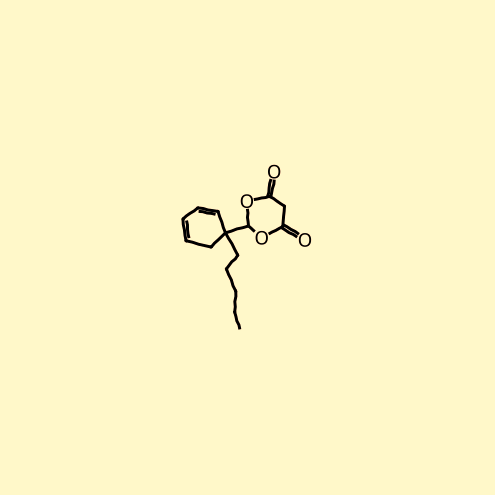 CCCCCC1(C2OC(=O)CC(=O)O2)C=CC=CC1